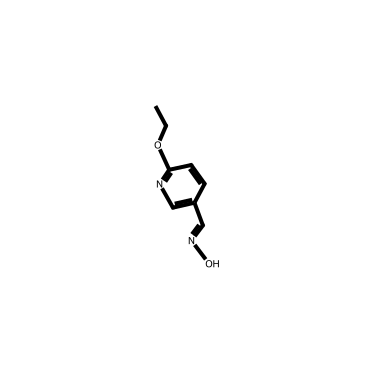 CCOc1ccc(C=NO)cn1